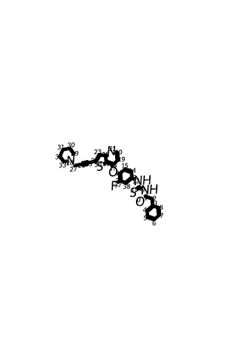 O=C(Cc1ccccc1)NC(=S)Nc1ccc(Oc2ccnc3cc(C#CCN4CCCCC4)sc23)c(F)c1